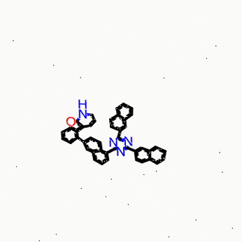 C1=Cc2c(oc3cccc(-c4ccc5c(-c6nc(-c7ccc8ccccc8c7)nc(-c7ccc8ccccc8c7)n6)cccc5c4)c23)NC1